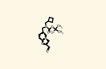 CC(C)(C)OC(=O)N(Cc1ccc2nc(C=O)cn2c1)CC1CCC1